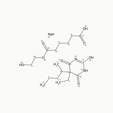 CCCC(C)C1(CC)C(=O)N=C(O)NC1=O.O=C(O)CCCCC(=O)OCCO.[NaH]